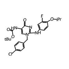 CC(C)Oc1ccc(Nc2nc(=O)c(NC(=O)OC(C)(C)C)cn2Cc2ccc(Cl)cc2)cc1F